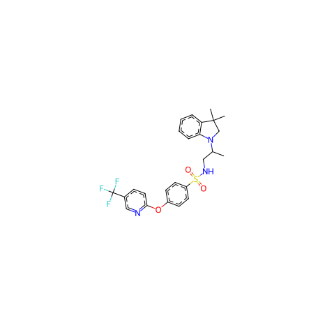 CC(CNS(=O)(=O)c1ccc(Oc2ccc(C(F)(F)F)cn2)cc1)N1CC(C)(C)c2ccccc21